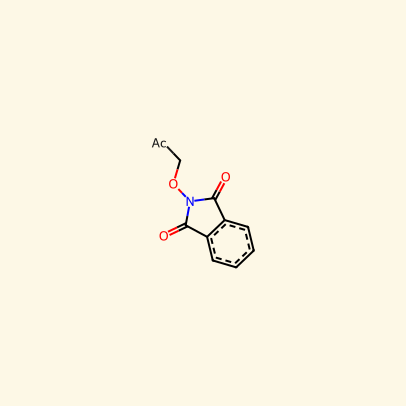 CC(=O)CON1C(=O)c2ccccc2C1=O